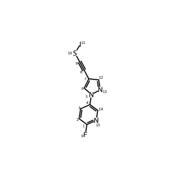 Fc1ccc(-n2cc(C#CSI)cn2)cn1